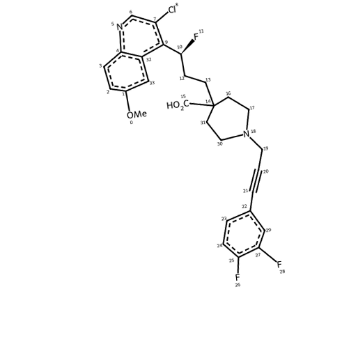 COc1ccc2ncc(Cl)c([C@@H](F)CCC3(C(=O)O)CCN(CC#Cc4ccc(F)c(F)c4)CC3)c2c1